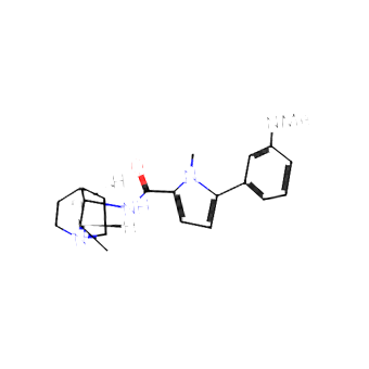 CNc1cccc(-c2ccc(C(=O)N[C@@H]3C4CCN(CC4)[C@H]3C)n2C)c1